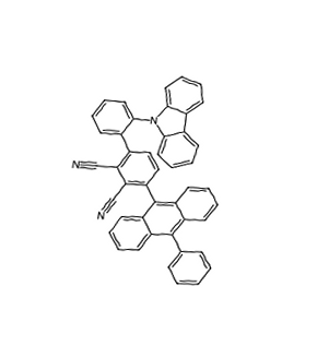 N#Cc1c(-c2ccccc2-n2c3ccccc3c3ccccc32)ccc(-c2c3ccccc3c(-c3ccccc3)c3ccccc23)c1C#N